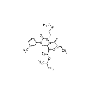 CC[C@H]1ON(C(=O)OC(C)C)C2CN(c3cccc(C)c3)C(=O)[C@H](CCSC)N2C1=O